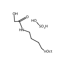 CCCCCCCCCCCCNC(=O)CO.O=S(=O)(O)O